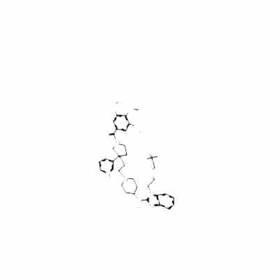 COc1cc(C(=O)N2CCC(CCN3CCC(Nc4nc5ccccc5n4CCOCC(F)(F)F)CC3)(c3cccnc3)C2)cc(OC)c1OC